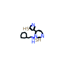 Sc1cncc(-c2cccncc(S)n(NCCC3CCCCCC3)c2)c1